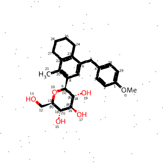 COc1ccc(Cc2cc([C@@H]3O[C@H](CO)[C@@H](O)[C@H](O)[C@H]3O)c(C)c3c2CCCC3)cc1